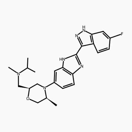 CC(C)N(C)C[C@H]1CN(c2ccc3nc(-c4n[nH]c5cc(F)ccc45)[nH]c3c2)[C@@H](C)CO1